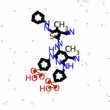 Cc1c(N=Nc2ccccc2)sc(N=Nc2c(Nc3ccc(S(=O)(=O)O)cc3)nc(Nc3ccc(S(=O)(=O)O)cc3)c(C#N)c2C)c1C#N